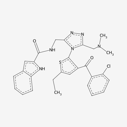 CCc1cc(C(=O)c2ccccc2Cl)c(-n2c(CNC(=O)c3cc4ccccc4[nH]3)nnc2CN(C)C)s1